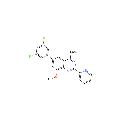 CCOc1cc(-c2cc(F)cc(F)c2)cc2c(NC)nc(-c3ccccn3)nc12